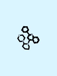 c1ccc(-c2cc(N3CCCCC3N3CCOCC3)c3ccccc3n2)cc1